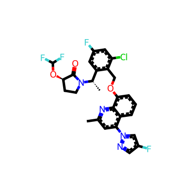 Cc1cc(-n2cc(F)cn2)c2cccc(OCc3c(Cl)cc(F)cc3[C@H](C)N3CC[C@@H](OC(F)F)C3=O)c2n1